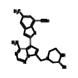 CCC1CN(Cc2cc(-c3cc4cc(C)cc(OC)c4s3)c3c(N)ncnn23)CCN1